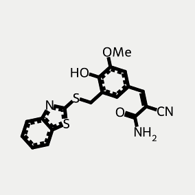 COc1cc(C=C(C#N)C(N)=O)cc(CSc2nc3ccccc3s2)c1O